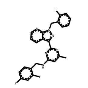 Cc1cc(NCc2ccc(F)cc2F)nc(-c2nn(Cc3ccccc3F)c3ncccc23)n1